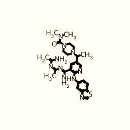 C=C(N)/N=C(C)\N=C(/N)c1cc(C(C)N2CCN(C(=O)N(C)C)CC2)cnc1Nc1ccc2scnc2c1